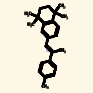 C/C(=C\c1ccc2c(c1)C(C)(C)CCC2(C)C)c1ccc(C)cc1